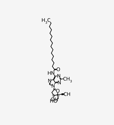 C#C[C@]1(CO)O[C@@H](n2cnc3c(NC(=O)CCCCCCCCCCCCCCC)nc(C)nc32)C[C@@H]1O